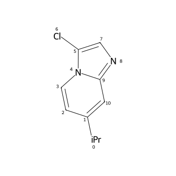 CC(C)c1ccn2c(Cl)cnc2c1